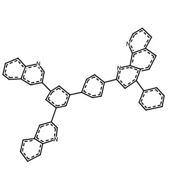 c1ccc(-c2cc(-c3ccc(-c4cc(-c5cnc6ccccc6c5)cc(-c5cnc6ccccc6c5)c4)cc3)nc3c2ccc2cccnc23)cc1